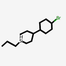 CCC[SiH]1CCC(C2CCC(Br)CC2)CC1